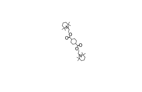 CC1(C)CCCC(C)(C)N1CCOC(=O)C1CCC(C(=O)OCCN2C(C)(C)CCCC2(C)C)CC1